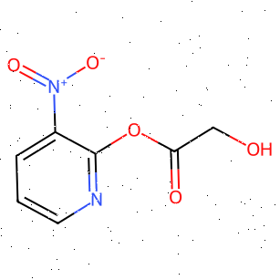 O=C(CO)Oc1ncccc1[N+](=O)[O-]